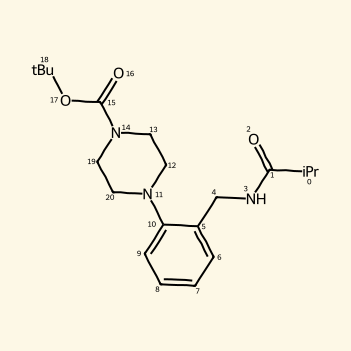 CC(C)C(=O)NCc1ccccc1N1CCN(C(=O)OC(C)(C)C)CC1